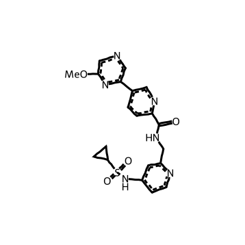 COc1cncc(-c2ccc(C(=O)NCc3cc(NS(=O)(=O)C4CC4)ccn3)nc2)n1